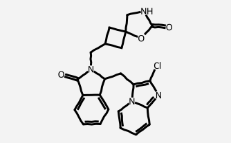 O=C1NCC2(CC(CN3C(=O)c4ccccc4C3Cc3c(Cl)nc4ccccn34)C2)O1